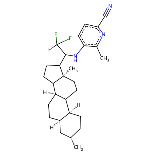 Cc1nc(C#N)ccc1NC(C1CCC2[C@@H]3CC[C@@H]4C[C@@H](C)CC[C@@H]4C3CC[C@]12C)C(F)(F)F